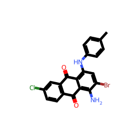 Cc1ccc(Nc2cc(Br)c(N)c3c2C(=O)c2cc(Cl)ccc2C3=O)cc1